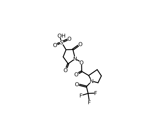 O=C(ON1C(=O)CC(S(=O)(=O)O)C1=O)C1CCCN1C(=O)C(F)(F)F